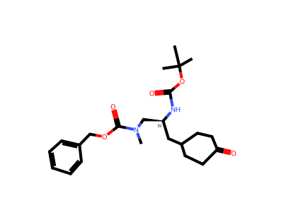 CN(C[C@H](CC1CCC(=O)CC1)NC(=O)OC(C)(C)C)C(=O)OCc1ccccc1